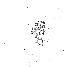 O=C(N[C@@H](Cc1ccccc1)C(=O)O)OC(Cl)(Cl)CCl